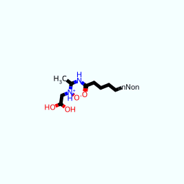 CCCCCCCCCCCCCC(=O)NC(C)[NH+]([O-])CC(O)O